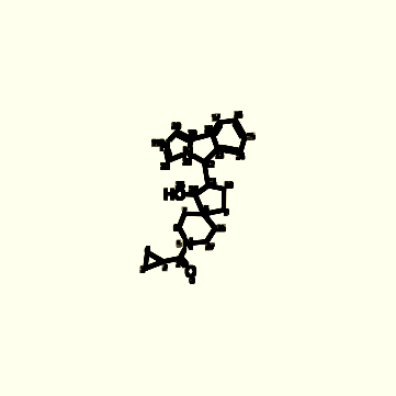 O=C(C1CC1)N1CCC2(CCC(C3c4ccccc4-c4cncn43)C2O)CC1